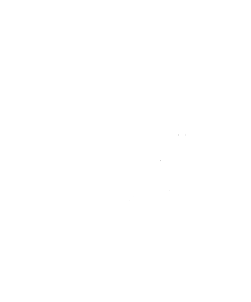 CCCCOC(=O)C(Cl)(Cl)Cl